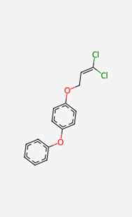 ClC(Cl)=CCOc1ccc(Oc2ccccc2)cc1